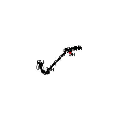 Cc1ncsc1-c1ccc([C@H](C)NC(=O)[C@@H]2C[C@@H](O)CN2C(=O)[C@H](NC(=O)CCOCCOCCOCCOCCOCCOCCNC(=O)c2cc(Oc3ccc(NC(=O)Nc4ccc(Cl)c(C(F)(F)F)c4)cc3)ccn2)C(C)(C)C)cc1